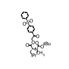 CC(C)C[C@@H](C(=O)OCC(=O)c1ccc(S(=O)(=O)c2ccccc2)cc1)N(C)C(=O)OC(C)(C)C